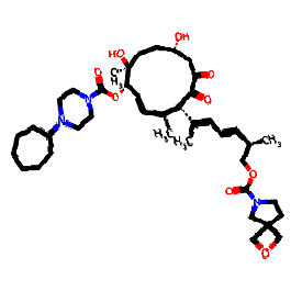 C/C(=C\C=C\[C@@H](C)COC(=O)N1CCC2(COC2)C1)[C@H]1C(=O)C(=O)C[C@@H](O)CC[C@](C)(O)[C@@H](OC(=O)N2CCN(C3CCCCCC3)CC2)/C=C/[C@@H]1C